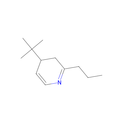 CCCC1=NC=CC(C(C)(C)C)C1